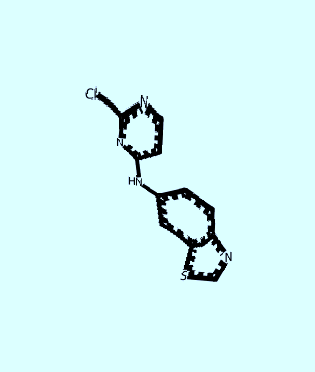 Clc1nccc(Nc2ccc3ncsc3c2)n1